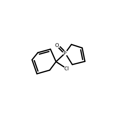 O=P1(C2(Cl)C=CC=CC2)CC=CC1